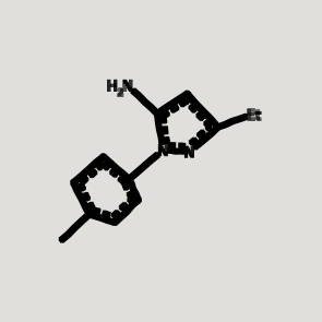 CCc1cc(N)n(-c2ccc(C)cc2)n1